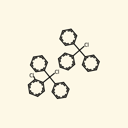 ClC(c1ccccc1)(c1ccccc1)c1ccccc1.Clc1ccccc1C(Cl)(c1ccccc1)c1ccccc1